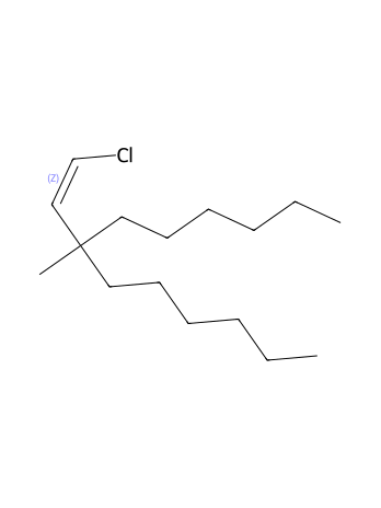 CCCCCCC(C)(/C=C\Cl)CCCCCC